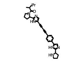 CC(C)C(C)C(=O)N1CCCC1c1ncc(C#CC#Cc2ccc(-c3cnc(C4CCCN4)[nH]3)cc2)[nH]1